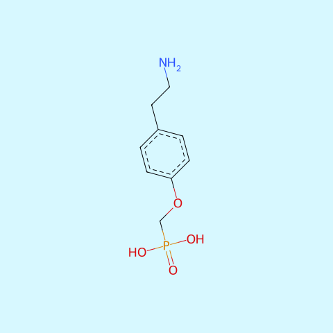 NCCc1ccc(OCP(=O)(O)O)cc1